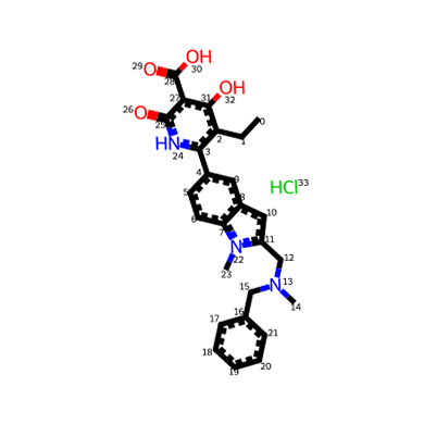 CCc1c(-c2ccc3c(c2)cc(CN(C)Cc2ccccc2)n3C)[nH]c(=O)c(C(=O)O)c1O.Cl